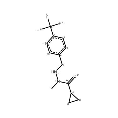 CN(NCc1ccc(C(F)(F)F)nc1)C(=O)C1CC1